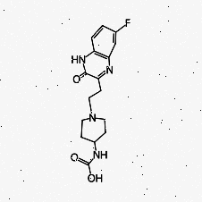 O=C(O)NC1CCN(CCc2nc3cc(F)ccc3[nH]c2=O)CC1